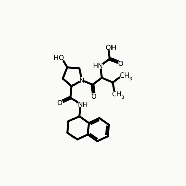 CC(C)C(NC(=O)O)C(=O)N1CC(O)CC1C(=O)NC1CCCc2ccccc21